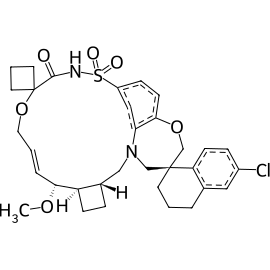 CO[C@@H]1/C=C/COC2(CCC2)C(=O)NS(=O)(=O)c2ccc3c(c2)N(C[C@@H]2CC[C@H]21)C[C@@]1(CCCc2cc(Cl)ccc21)CO3